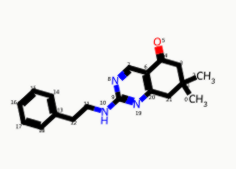 CC1(C)CC(=O)c2cnc(NCCc3ccccc3)nc2C1